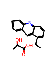 CC(O)C(=O)O.CCc1cccc2nc3ccccc3cc12